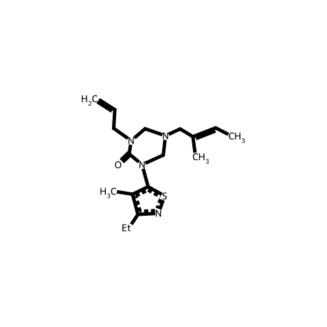 C=CCN1CN(C/C(C)=C/C)CN(c2snc(CC)c2C)C1=O